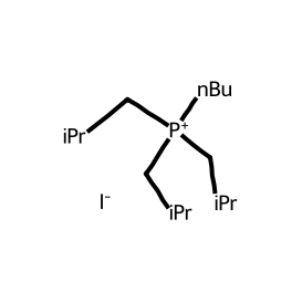 CCCC[P+](CC(C)C)(CC(C)C)CC(C)C.[I-]